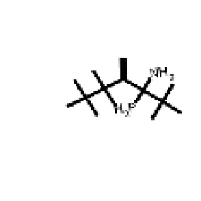 C=C(C(C)(C)C(C)(C)C)C(N)(P)C(C)(C)C